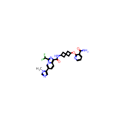 Cn1cncc1-c1ccc2c(C(=O)NC3CC4(C3)CC(Oc3ncccc3C(N)=O)C4)nc(C(F)F)n2c1